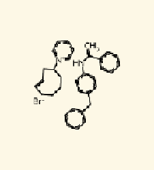 C1=C/CC([n+]2ccccc2)CCCC/1.C=C(Nc1ccc(Cc2ccccc2)cc1)c1ccccc1.[Br-]